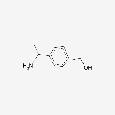 CC(N)c1ccc(CO)cc1